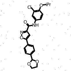 CC(C)Oc1ccc(NC(=O)c2cc(-c3ccc(C4OCCO4)cc3)on2)cc1Cl